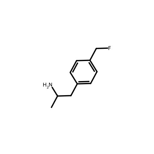 C[C](N)Cc1ccc(CF)cc1